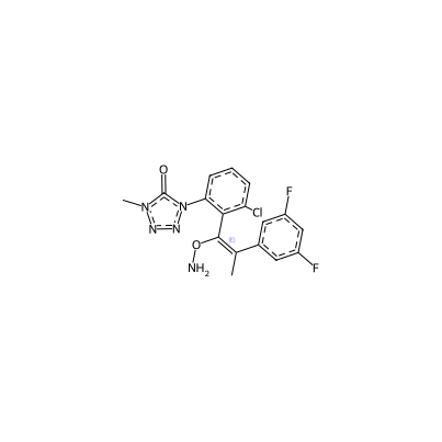 C/C(=C(\ON)c1c(Cl)cccc1-n1nnn(C)c1=O)c1cc(F)cc(F)c1